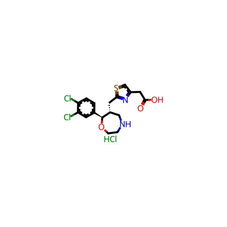 Cl.O=C(O)Cc1csc(C[C@@H]2CNCCO[C@H]2c2ccc(Cl)c(Cl)c2)n1